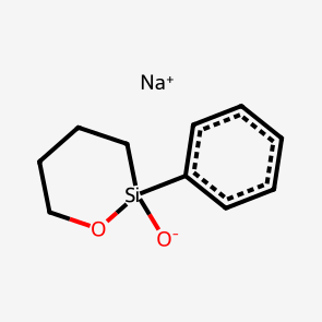 [Na+].[O-][Si]1(c2ccccc2)CCCCO1